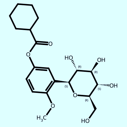 COc1ccc(OC(=O)C2CCCCC2)cc1[C@@H]1O[C@H](CO)[C@@H](O)[C@H](O)[C@H]1O